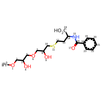 CC(C)OCC(O)COCC(O)CSCCC(NC(=O)c1ccccc1)C(=O)O